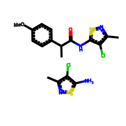 COc1ccc(C(C)C(=O)Nc2snc(C)c2Cl)cc1.Cc1nsc(N)c1Cl